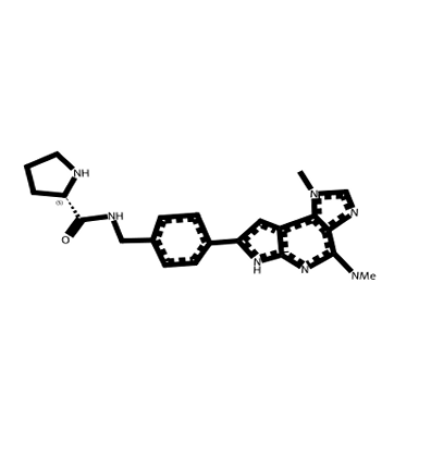 CNc1nc2[nH]c(-c3ccc(CNC(=O)[C@@H]4CCCN4)cc3)cc2c2c1ncn2C